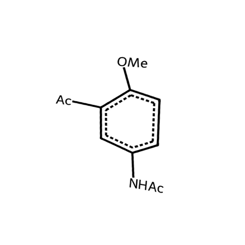 COc1ccc(NC(C)=O)cc1C(C)=O